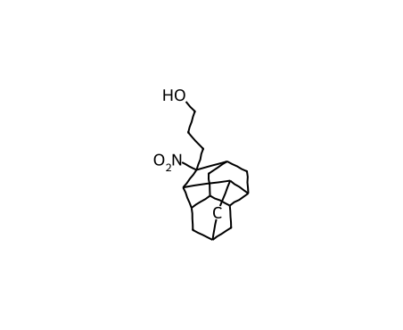 O=[N+]([O-])C1(CCCO)C2CC3C4CC5CC3C1C(C5)C4C2